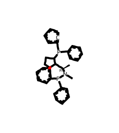 C[C@H](C1CCCC1P(c1ccccc1)c1ccccc1)N(C)P(c1ccccc1)c1ccccc1